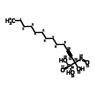 CCCCCCCCCCC#CC(O)(P=O)P(=O)(O)O